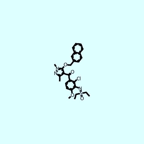 CCS(=O)(CC)=Nc1c(OC)ccc(C(=O)c2c(C)nn(C)c2OCc2ccc3ccccc3c2)c1Cl